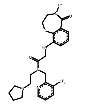 CCN1CCOc2c(NCC(=O)N(CCN3CCCC3)Cc3ncccc3C(F)(F)F)cccc2C1=O